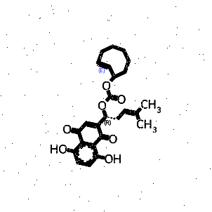 CC(C)=CC[C@@H](OC(=O)OC1/C=C/CCCCC1)C1=CC(=O)c2c(O)ccc(O)c2C1=O